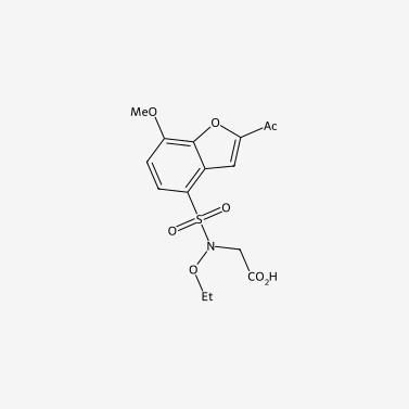 CCON(CC(=O)O)S(=O)(=O)c1ccc(OC)c2oc(C(C)=O)cc12